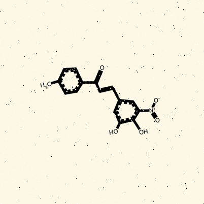 Cc1ccc(C(=O)C=Cc2cc(O)c(O)c([N+](=O)[O-])c2)cc1